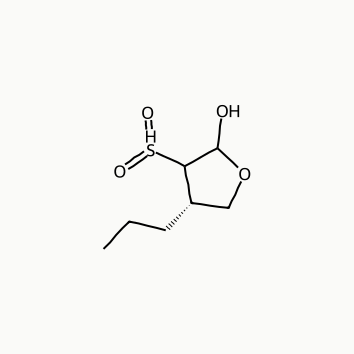 CCC[C@H]1COC(O)C1[SH](=O)=O